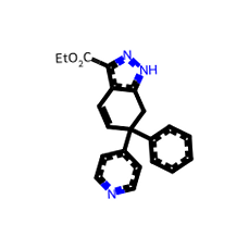 CCOC(=O)c1n[nH]c2c1C=CC(c1ccccc1)(c1ccncc1)C2